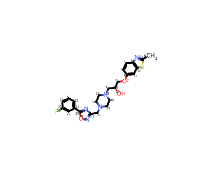 Cc1nc2ccc(OC[C@@H](O)CN3CCN(Cc4noc(-c5cccc(F)c5)n4)CC3)cc2s1